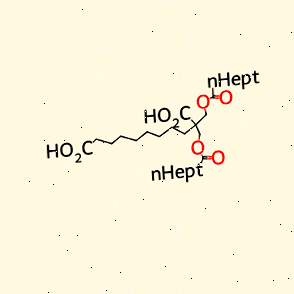 CCCCCCCC(=O)OCC(CCCCCCCCC(=O)O)(COC(=O)CCCCCCC)C(=O)O